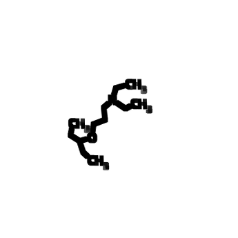 CCC(CC)OCCCN(CC)CC